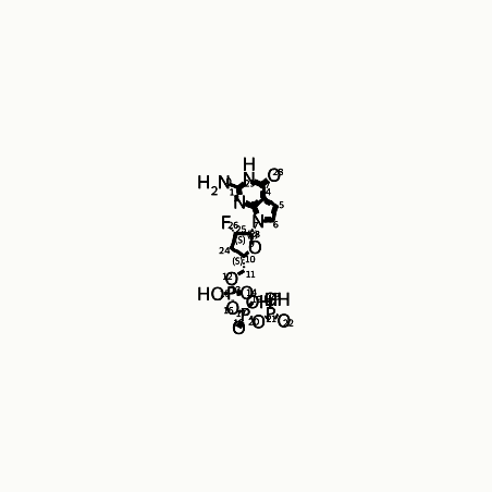 Nc1nc2c(ccn2[C@@H]2O[C@H](COP(=O)(O)OP(=O)(O)O[PH](=O)O)C[C@@H]2F)c(=O)[nH]1